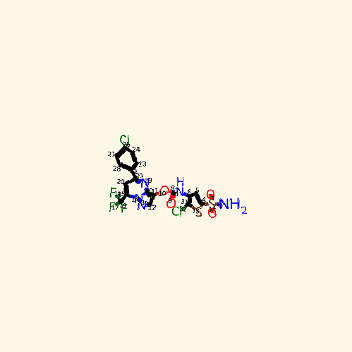 NS(=O)(=O)c1cc(NC(=O)Oc2cnn3c(C(F)(F)F)cc(-c4ccc(Cl)cc4)nc23)c(Cl)s1